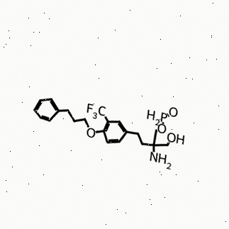 NC(CO)(CCc1ccc(OCCCc2ccccc2)c(C(F)(F)F)c1)CO[PH2]=O